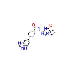 NC1(C(=O)N2CCN(C(=O)c3ccc(-c4ccc5[nH]cnc5c4)cc3)CC2)CCC1